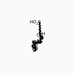 Cc1ccc(NC(=O)C2(c3ccc4c(c3)OC(F)(F)O4)CC2)nc1-c1cccc(C(=O)NCCCCCCCCC(=O)O)c1